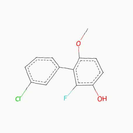 COc1ccc(O)c(F)c1-c1cccc(Cl)c1